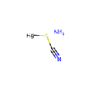 N.N#C[S][Hg]